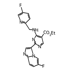 CCOC(=O)c1cnc(-c2cnc3ccc(F)cn23)nc1NCc1ccc(F)cn1